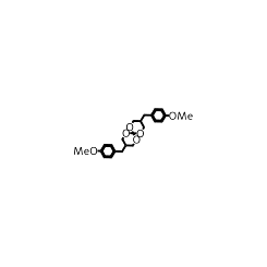 COc1ccc(CC2COC3(OC2)OCC(Cc2ccc(OC)cc2)CO3)cc1